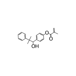 C=C(C)C(=O)Oc1ccc(C(O)C(C)(C)c2ccccc2)cc1